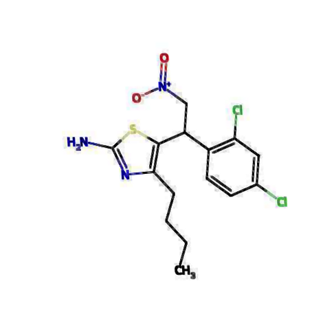 CCCCc1nc(N)sc1C(C[N+](=O)[O-])c1ccc(Cl)cc1Cl